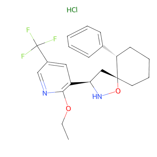 CCOc1ncc(C(F)(F)F)cc1[C@H]1C[C@@]2(CCCC[C@H]2c2ccccc2)ON1.Cl